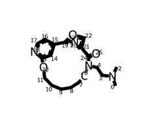 CN(C)CCN1CCCCCCOc2cc(ccn2)-c2nc(co2)C1=O